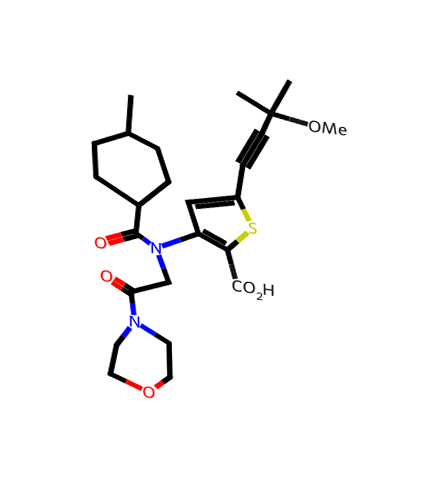 COC(C)(C)C#Cc1cc(N(CC(=O)N2CCOCC2)C(=O)C2CCC(C)CC2)c(C(=O)O)s1